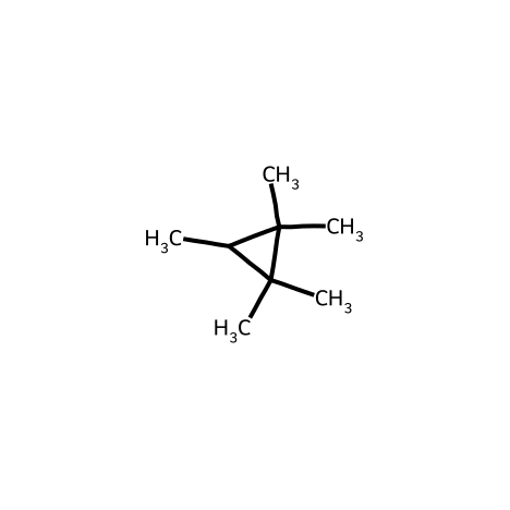 CC1C(C)(C)C1(C)C